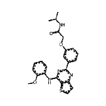 COc1ccccc1Nc1nc(-c2cccc(OCC(=O)NC(C)C)c2)nc2ccsc12